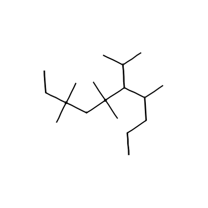 CCCC(C)C([C](C)C)C(C)(C)CC(C)(C)CC